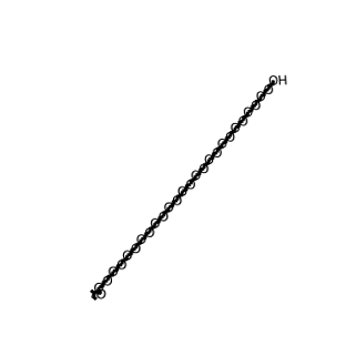 CC=C(C)C(=O)OCCOCCOCCOCCOCCOCCOCCOCCOCCOCCOCCOCCOCCOCCOCCOCCOCCOCCOCCOCCOCCOCCOCCOCCOCCOCCO